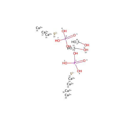 O=P(O)(O)O.O=P(O)(O)O.O=S(=O)(O)O.O=S(=O)(O)O.[Ca+2].[Ca+2].[Ca+2].[Ca+2].[Ca+2].[Ca+2].[Ca+2].[S-2].[S-2]